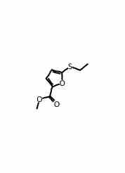 CCSc1ccc(C(=O)OC)o1